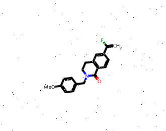 C=C(F)c1ccc2c(c1)CCN(Cc1ccc(OC)cc1)C2=O